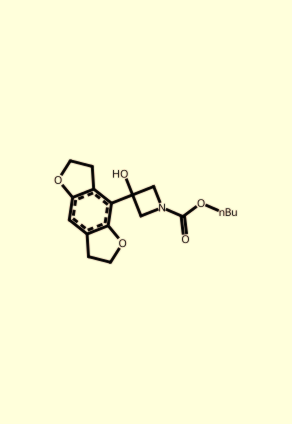 CCCCOC(=O)N1CC(O)(c2c3c(cc4c2OCC4)OCC3)C1